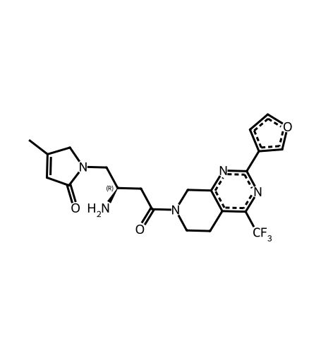 CC1=CC(=O)N(C[C@H](N)CC(=O)N2CCc3c(nc(-c4ccoc4)nc3C(F)(F)F)C2)C1